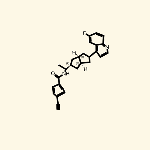 C#Cc1ccc(C(=O)NC(C)[C@H]2C[C@H]3CC(c4ccnc5ccc(F)cc45)C[C@H]3C2)cc1